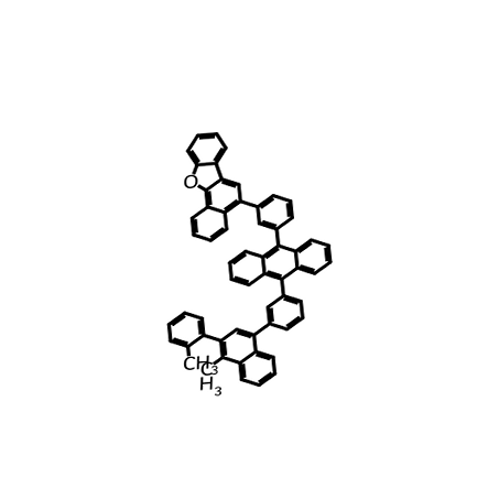 Cc1ccccc1-c1cc(-c2cccc(-c3c4ccccc4c(-c4cccc(-c5cc6c7ccccc7oc6c6ccccc56)c4)c4ccccc34)c2)c2ccccc2c1C